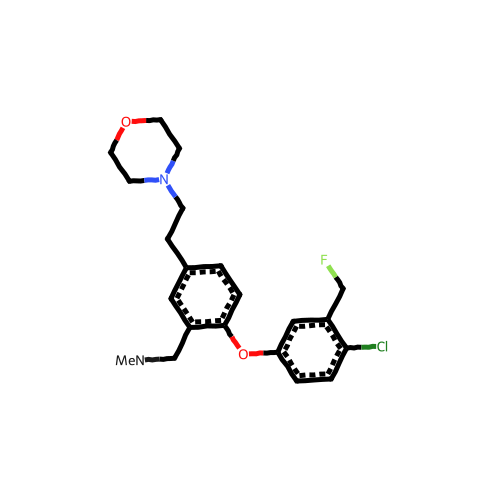 CNCc1cc(CCN2CCOCC2)ccc1Oc1ccc(Cl)c(CF)c1